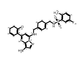 Bc1cnn2c(NCC3=CC=C(CNS(=O)(=O)c4cc(F)ccc4C)CC3)cc(C3=C(Cl)CCC=C3)nc12